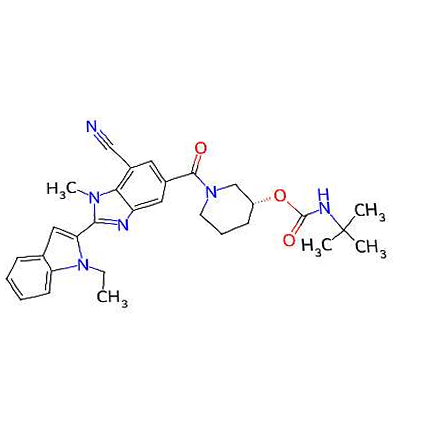 CCn1c(-c2nc3cc(C(=O)N4CCC[C@@H](OC(=O)NC(C)(C)C)C4)cc(C#N)c3n2C)cc2ccccc21